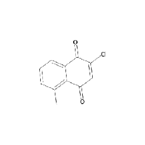 Cc1cccc2c1C(=O)C=C(Cl)C2=O